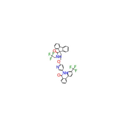 O=C(Nc1ccc(OCCCC2(C(=O)NCC(F)(F)F)c3ccccc3-c3ccccc32)nc1)c1ccccc1-c1ccc(C(F)(F)F)cc1